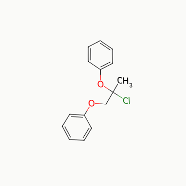 CC(Cl)(COc1ccccc1)Oc1ccccc1